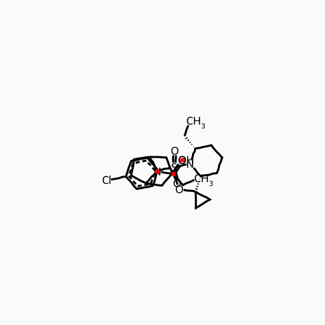 CC[C@@H]1CCC[C@H](C2(OC(=O)N3C4CCC3CC(O)(CC)C4)CC2)N1S(=O)(=O)c1ccc(Cl)cc1